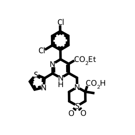 CCOC(=O)C1=C(CN2CCS(=O)(=O)CC2(C)C(=O)O)NC(c2nccs2)=NC1c1ccc(Cl)cc1Cl